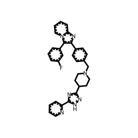 Fc1cccc(-c2c(-c3ccc(CN4CCC(c5n[nH]c(-c6ccccn6)n5)CC4)cc3)nc3ccccn23)c1